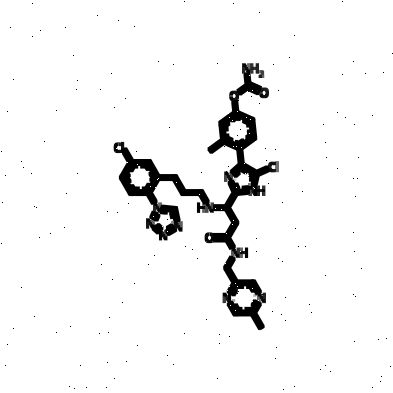 Cc1cnc(CNC(=O)CC(NCCCc2cc(Cl)ccc2-n2cnnn2)c2nc(-c3ccc(OC(N)=O)cc3C)c(Cl)[nH]2)cn1